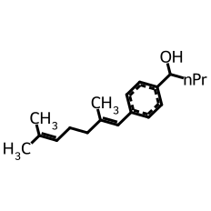 CCCC(O)c1ccc(/C=C(\C)CCC=C(C)C)cc1